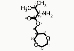 CC(C)[C@H](N)C(=O)OCC1COCCOC1